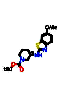 COc1ccc2nc(N[C@H]3CCCN(C(=O)OC(C)(C)C)C3)sc2c1